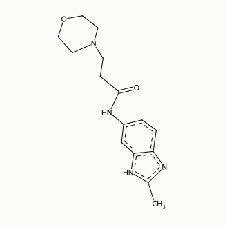 Cc1nc2ccc(NC(=O)CCN3CCOCC3)cc2[nH]1